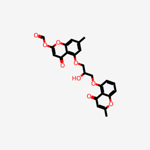 Cc1cc(OCC(O)COc2cccc3oc(C)cc(=O)c23)c2c(=O)cc(OC=O)oc2c1